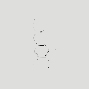 COC(=O)Cc1cc(Cl)c(OC)c(Cl)c1